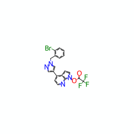 O=C(On1ccc2c(-c3cnn(Cc4ccccc4Br)c3)ccnc21)C(F)(F)F